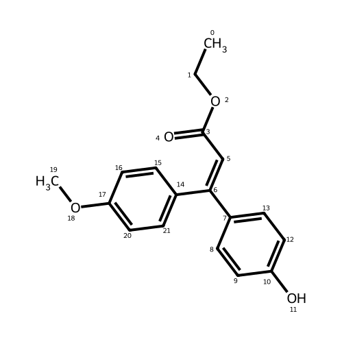 CCOC(=O)C=C(c1ccc(O)cc1)c1ccc(OC)cc1